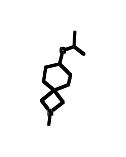 CC(C)OC1CCC2(CC1)CN(C)C2